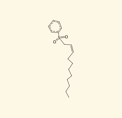 CCCCCCCC/C=C\CS(=O)(=O)c1ccccc1